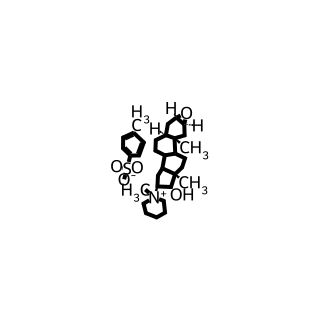 C[C@]12CCC3C(CC[C@H]4C[C@H]5O[C@H]5C[C@]34C)C1C[C@H]([N+]1(C)CCCCC1)[C@H]2O.Cc1ccc(S(=O)(=O)[O-])cc1